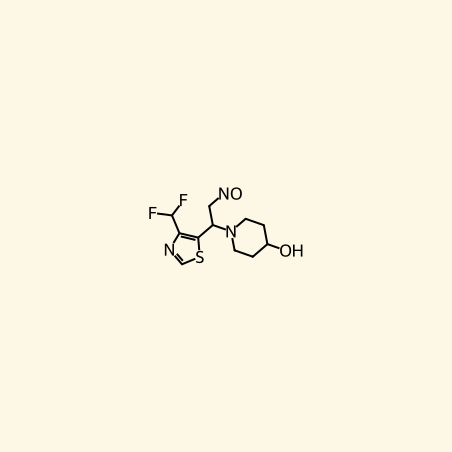 O=NCC(c1scnc1C(F)F)N1CCC(O)CC1